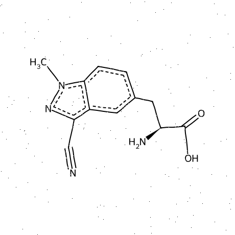 Cn1nc(C#N)c2cc(C[C@H](N)C(=O)O)ccc21